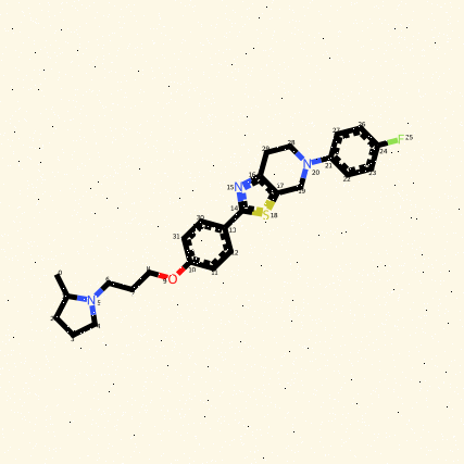 CC1CCCN1CCCOc1ccc(-c2nc3c(s2)CN(c2ccc(F)cc2)CC3)cc1